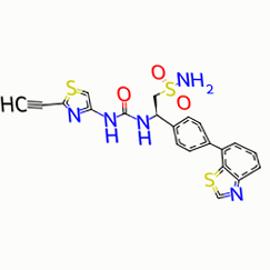 C#Cc1nc(NC(=O)N[C@@H](CS(N)(=O)=O)c2ccc(-c3cccc4ncsc34)cc2)cs1